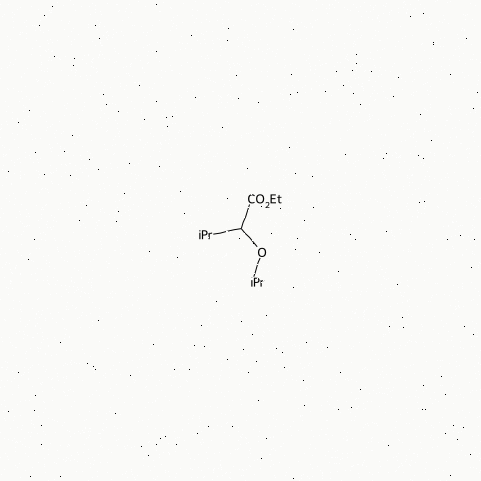 CCOC(=O)C(OC(C)C)C(C)C